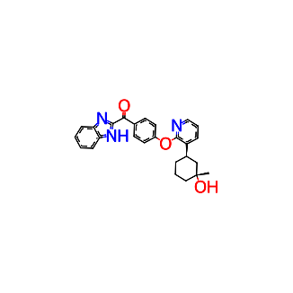 C[C@@]1(O)CCC[C@@H](c2cccnc2Oc2ccc(C(=O)c3nc4ccccc4[nH]3)cc2)C1